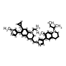 CCC(C)N1CCCc2cc(-c3cnn(CC4Cc5cc(-c6cnn(C)c6)c(C6CC6)cc5N(CC)C4)c3)c(C)cc21